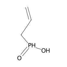 C=CC[PH](=O)O